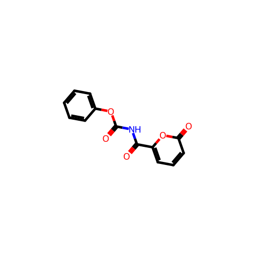 O=C(NC(=O)c1cccc(=O)o1)Oc1ccccc1